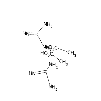 CC(=O)O.CC(=O)O.N=C(N)N.N=C(N)N